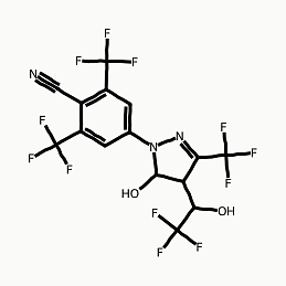 N#Cc1c(C(F)(F)F)cc(N2N=C(C(F)(F)F)C(C(O)C(F)(F)F)C2O)cc1C(F)(F)F